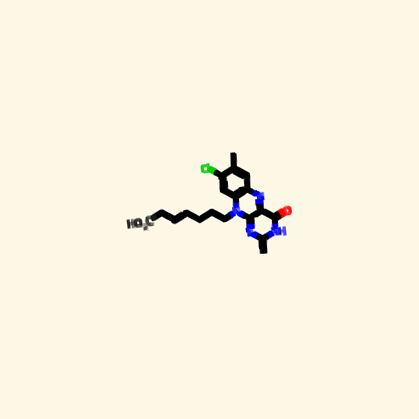 C=c1nc2c(c(=O)[nH]1)=Nc1cc(C)c(Cl)cc1N2CCCCCCC(=O)O